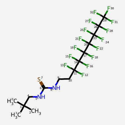 CC(C)(C)CNC(=S)NCCC(F)(F)C(F)(F)C(F)(F)C(F)(F)C(F)(F)C(F)(F)C(F)(F)F